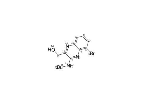 CC(C)(C)Nc1nc2c(Br)cccc2nc1CO